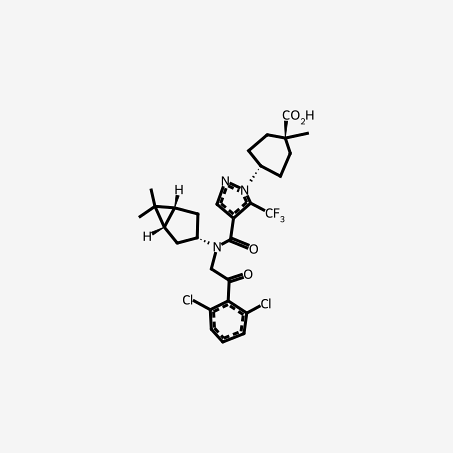 CC1(C)[C@@H]2C[C@H](N(CC(=O)c3c(Cl)cccc3Cl)C(=O)c3cnn([C@H]4CC[C@](C)(C(=O)O)CC4)c3C(F)(F)F)C[C@@H]21